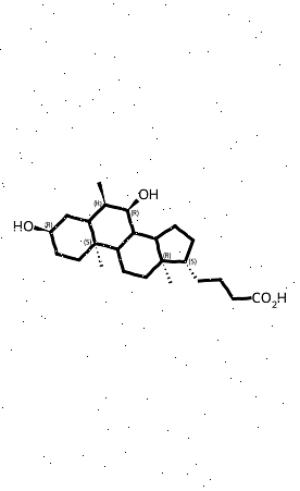 C[C@@H]1C2C[C@H](O)CC[C@]2(C)C2CC[C@@]3(C)C(CC[C@@H]3CCCC(=O)O)C2[C@@H]1O